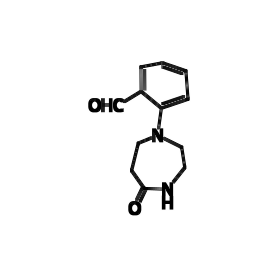 O=Cc1ccccc1N1CCNC(=O)CC1